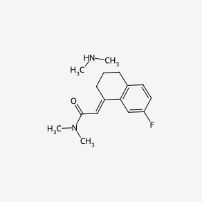 CN(C)C(=O)/C=C1\CCCc2ccc(F)cc21.CNC